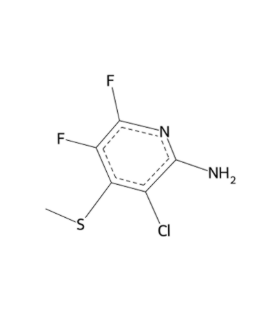 CSc1c(F)c(F)nc(N)c1Cl